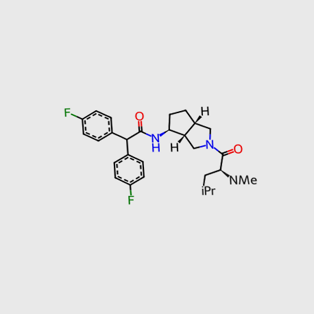 CN[C@@H](CC(C)C)C(=O)N1C[C@H]2CC[C@H](NC(=O)C(c3ccc(F)cc3)c3ccc(F)cc3)[C@H]2C1